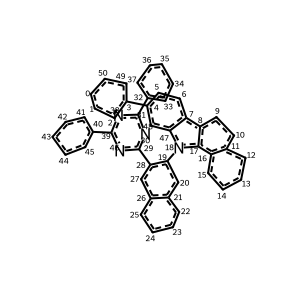 c1ccc(-c2ccc3c4ccc5ccccc5c4n(-c4cc5ccccc5cc4-c4nc(-c5ccccc5)nc(-c5ccccc5)n4)c3c2)cc1